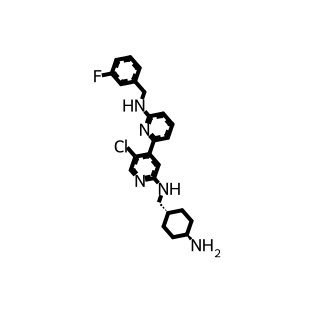 N[C@H]1CC[C@H](CNc2cc(-c3cccc(NCc4cccc(F)c4)n3)c(Cl)cn2)CC1